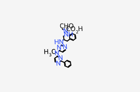 CN(c1ccnc(NC(CNN(CC=O)C(=O)O)Cc2ccccc2)n1)c1ccnc(-c2ccccc2)n1